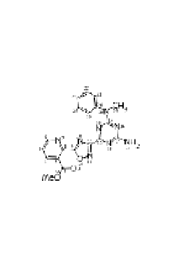 COC(=O)c1cccnc1-c1nc(-c2nc(N)nc(N(C)c3ccccc3)n2)no1